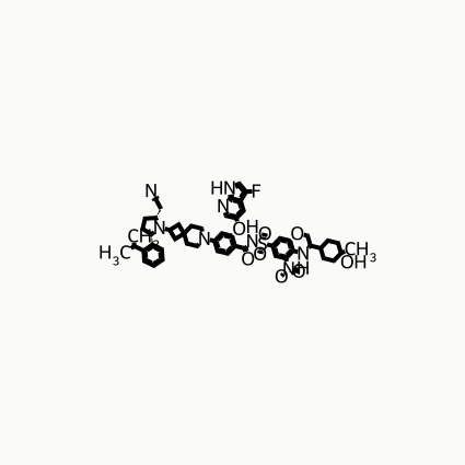 CC(C)c1ccccc1[C@@H]1CC[C@H](CC#N)N1C1CC2(CCN(c3ccc(C(=O)NS(=O)(=O)c4cc5c(c([N+](=O)[O-])c4)NC(C4CCC(C)(O)CC4)CO5)c(Oc4cnc5[nH]cc(F)c5c4)c3)CC2)C1